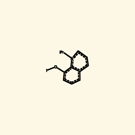 CC(C)[n+]1cccc2cccc(OI)c21